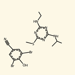 CCNc1nc(NC(C)C)nc(SC)n1.N#Cc1cc(Br)c(O)c(Br)c1